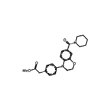 COC(=O)Cc1ccc(N2CCOc3cc(C(=O)N4CCCCC4)ccc32)cc1